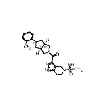 CS(=N)(=O)N1CCc2[nH]nc(C(=O)N3C[C@H]4C[C@@H](c5ccccc5C(F)(F)F)C[C@H]4C3)c2C1